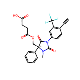 C#Cc1ccc(N2C(=O)N(C)[C@](COC(=O)CCC(=O)O)(c3ccccc3)C2=O)cc1C(F)(F)F